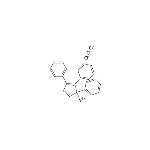 [Cl-].[Cl-].[Cl-].[V+3][C]1(c2ccccc2)C=CC(c2ccccc2)=C1c1ccccc1